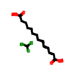 ClC(Cl)Cl.O=C(O)CCCCCCCCCCCCC(=O)O